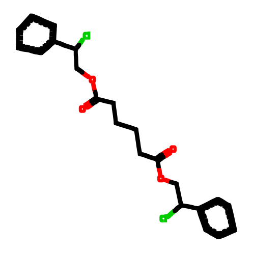 O=C(CCCCC(=O)OCC(Cl)c1ccccc1)OCC(Cl)c1ccccc1